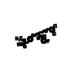 CCOC(Cc1ccc(OCCN(CCCOCc2cc(Cl)cc(Cl)c2)C(=O)Nc2cccc(F)c2)cc1)C(=O)O